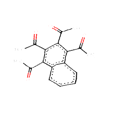 CC(=O)c1c(C(C)=O)c(C(C)=O)c2ccccc2c1C(C)=O